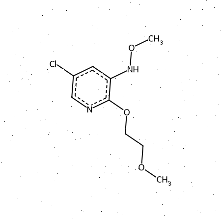 COCCOc1ncc(Cl)cc1NOC